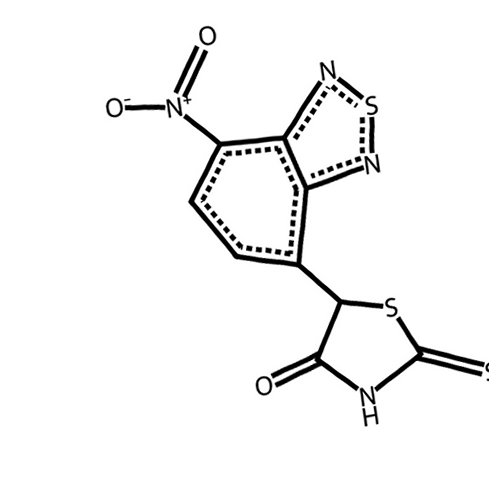 O=C1NC(=S)SC1c1ccc([N+](=O)[O-])c2nsnc12